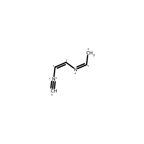 C#[N+]/C=C\N=C/C